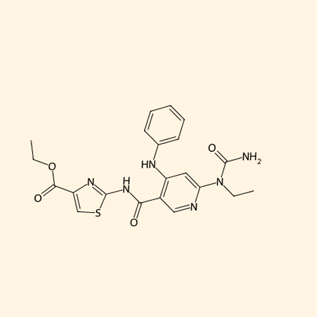 CCOC(=O)c1csc(NC(=O)c2cnc(N(CC)C(N)=O)cc2Nc2ccccc2)n1